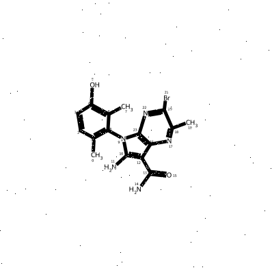 Cc1ccc(O)c(C)c1-n1c(N)c(C(N)=O)c2nc(C)c(Br)nc21